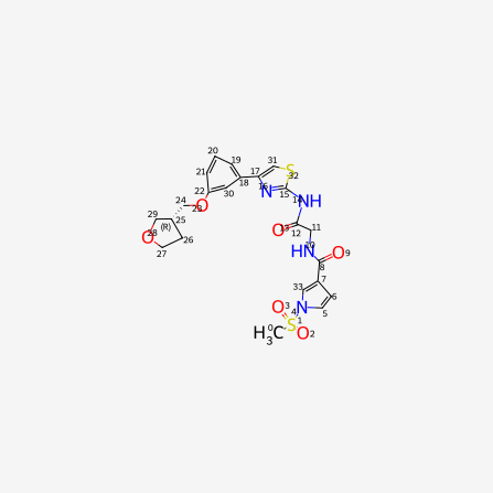 CS(=O)(=O)n1ccc(C(=O)NCC(=O)Nc2nc(-c3cccc(OC[C@@H]4CCOC4)c3)cs2)c1